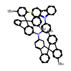 CC(C)(C)c1ccc2c(c1)C1(c3cc(C(C)(C)C)ccc3S2)c2ccccc2-c2ccc(N(C3=CC=C4c5ccccc5C5(c6cc(C(C)(C)C)ccc6-c6ccc(C(C)(C)C)cc65)C4C3)c3cccc(-n4c5ccccc5c5ccccc54)c3)cc21